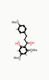 COc1ccc(CCC(O)c2c(O)cc(OC)cc2OC)cc1